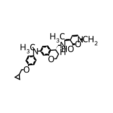 C=N/C=C\C(C(=O)O)=C(/C)NC[C@@H]1CCOc2cc(N(C)c3ccc(OCC4CC4)cc3)ccc21